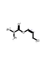 CC(C)N(C(=O)O/C=C\CCl)C(C)C